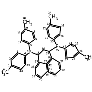 Cc1ccc(P(c2ccc(C)cc2)C(CC(c2ccccc2)P(c2ccc(C)cc2)c2ccc(C)cc2)c2ccccc2)cc1